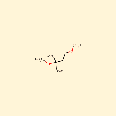 COC(CCOC(=O)O)(OC)OC(=O)O